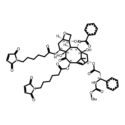 CC(=O)O[C@@]12CO[C@@H]1C[C@H](PC(=O)CCCCCN1C(=O)C=CC1=O)[C@@]1(O)C(=O)[C@H](OC(=O)CCCCCN3C(=O)C=CC3=O)C3=C[C@@H](OC(=O)C[C@@H](NC(=O)OC(C)(C)C)c4ccccc4)C[C@@](O)([C@@H](OC(=O)c4ccccc4)[C@H]21)C3(C)C